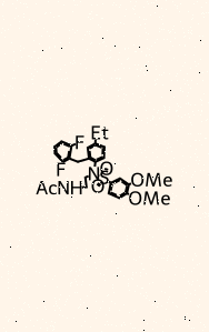 CCc1ccc(N(CCNC(C)=O)S(=O)(=O)c2ccc(OC)c(OC)c2)c(Cc2c(F)cccc2F)c1